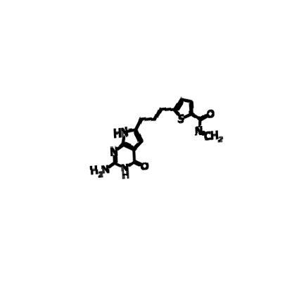 C=NC(=O)c1ccc(CCCc2cc3c(=O)[nH]c(N)nc3[nH]2)s1